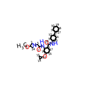 COC1CN(CC(=O)Nc2cc(OC3CC3)ccc2C(=O)Nc2ccc(-c3ccccc3)cc2)C1